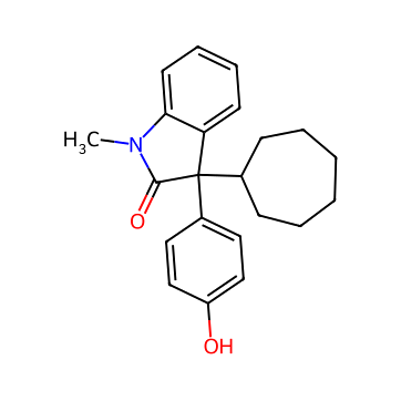 CN1C(=O)C(c2ccc(O)cc2)(C2CCCCCC2)c2ccccc21